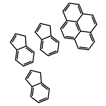 C1=Cc2ccccc2C1.C1=Cc2ccccc2C1.C1=Cc2ccccc2C1.c1cc2ccc3cccc4ccc(c1)c2c34